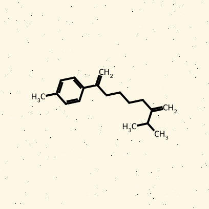 C=C(CCCCC(=C)C(C)C)c1ccc(C)cc1